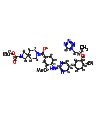 COc1cc(C(=O)N2CCC3(CC2)CN(C(=O)OC(C)(C)C)C3)ccc1Nc1ncc(-c2ccc(C#N)c(O[C@@H](C)Cn3cnnn3)c2)cn1